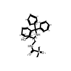 CP(C)(=O)C(=O)NC[C@@H](CO)NC(c1ccccc1)(c1ccccc1)c1ccccc1